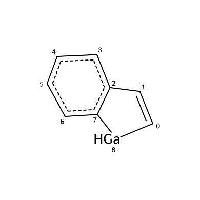 [CH]1=Cc2cccc[c]2[GaH]1